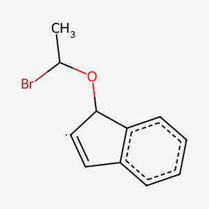 CC(Br)OC1[C]=Cc2ccccc21